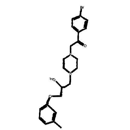 Cc1cccc(OCC(O)CN2CCN(CC(=O)c3ccc(Br)cc3)CC2)c1